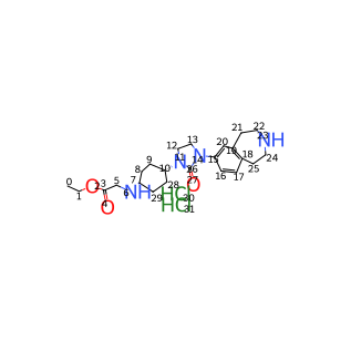 CCOC(=O)CN[C@H]1CC[C@H](N2CCN(c3ccc4c(c3)CCNCC4)C2=O)CC1.Cl.Cl